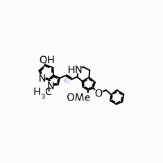 COc1cc2c(cc1OCc1ccccc1)CCNC2/C=C/c1cn(C)c2ncc(O)cc12